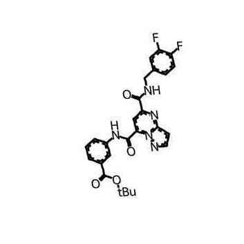 CC(C)(C)OC(=O)c1cccc(NC(=O)c2cc(C(=O)NCc3ccc(F)c(F)c3)nc3ccnn23)c1